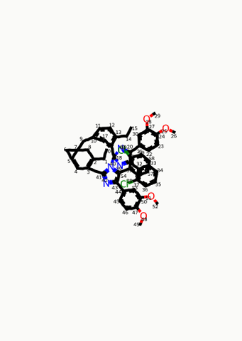 CCC1=C2C=C3CC3(C1)Cc1ccc(CC)c(c1)C1(N=C(c3ccc(OC)c(OC)c3)C(c3ccccc3Cl)=N1)n1c2nc(-c2ccc(OC)c(OC)c2)c1-c1ccccc1Cl